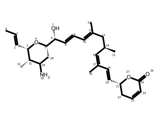 C/C=C/[C@@H]1O[C@H]([C@H](O)/C=C/C=C(\C)C[C@@H](C)/C=C(C)\C=C\[C@H]2CC=CC(=O)O2)CC(N)[C@@H]1C